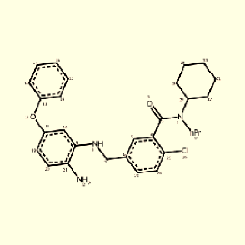 CCCN(C(=O)c1cc(CNc2cc(Oc3ccccc3)ccc2N)ccc1Cl)C1CCCCC1